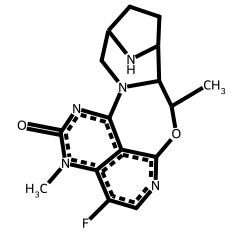 CC1Oc2ncc(F)c3c2c(nc(=O)n3C)N2CC3CCC(N3)C12